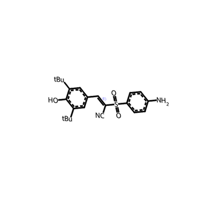 CC(C)(C)c1cc(/C=C(\C#N)S(=O)(=O)c2ccc(N)cc2)cc(C(C)(C)C)c1O